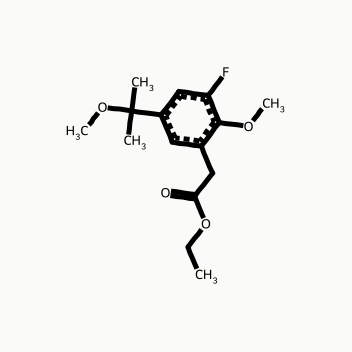 CCOC(=O)Cc1cc(C(C)(C)OC)cc(F)c1OC